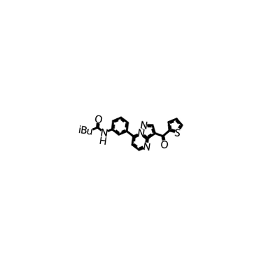 CCC(C)C(=O)Nc1cccc(-c2ccnc3c(C(=O)c4cccs4)cnn23)c1